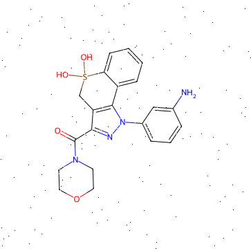 Nc1cccc(-n2nc(C(=O)N3CCOCC3)c3c2-c2ccccc2S(O)(O)C3)c1